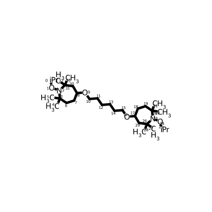 CC(C)ON1C(C)(C)CCC(OCCCCCCOC2CCC(C)(C)N(OC(C)C)C(C)(C)C2)CC1(C)C